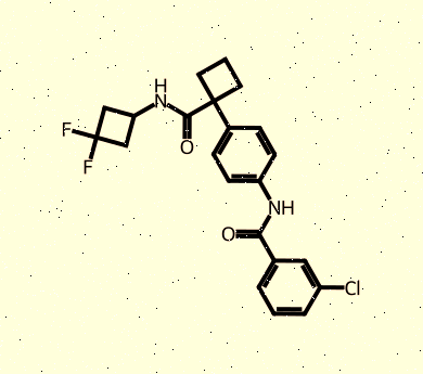 O=C(Nc1ccc(C2(C(=O)NC3CC(F)(F)C3)CCC2)cc1)c1cccc(Cl)c1